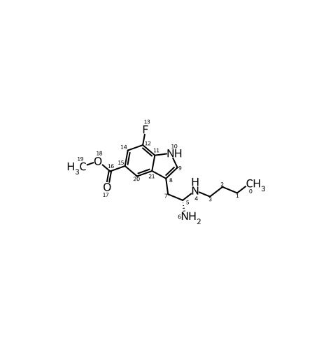 CCCCN[C@H](N)Cc1c[nH]c2c(F)cc(C(=O)OC)cc12